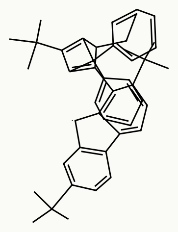 CCC1C(c2c(C(C)(C)C)ccc3c2[CH]c2cc(C(C)(C)C)ccc2-3)=C2C(C(C)(C)C)=C1C2(c1ccccc1)c1ccccc1